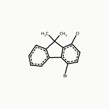 CC1(C)c2ccccc2-c2c(Br)ccc(Cl)c21